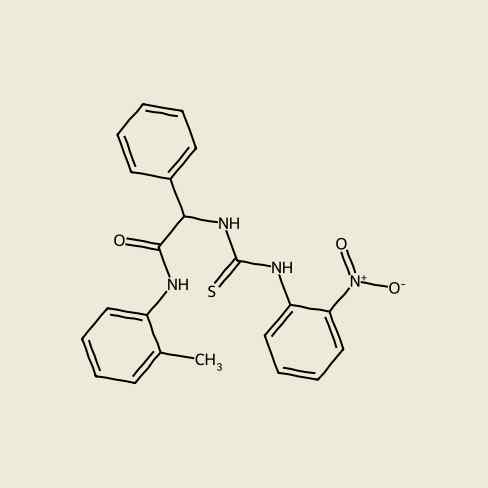 Cc1ccccc1NC(=O)C(NC(=S)Nc1ccccc1[N+](=O)[O-])c1ccccc1